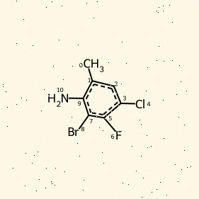 Cc1cc(Cl)c(F)c(Br)c1N